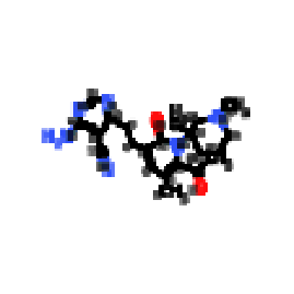 CC(=O)c1c(C)cc(CCc2ncnc(N)c2C#N)c(=O)n1C1(C)CCCN(C)C1